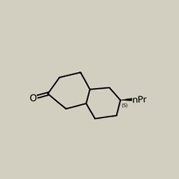 CCC[C@H]1CCC2CC(=O)CCC2C1